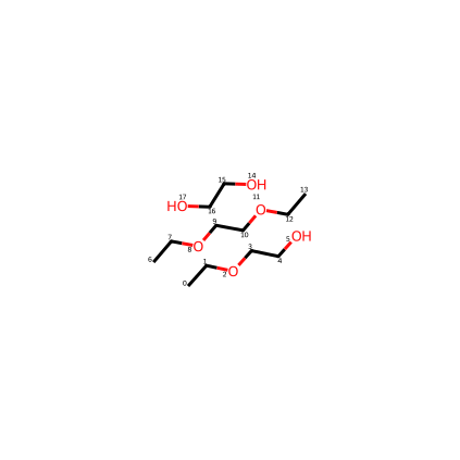 CCOCCO.CCOCCOCC.OCCO